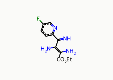 CCOC(=O)/C(N)=C(\N)C(=N)c1ccc(F)cn1